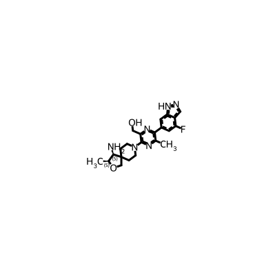 Cc1nc(N2CCC3(CC2)CO[C@@H](C)[C@H]3N)c(CO)nc1-c1cc(F)c2cn[nH]c2c1